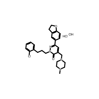 CN1CCN(Cc2cc(-c3ccc4c(c3)CCO4)nn(CCCc3ccccc3Cl)c2=O)CC1.Cl.Cl